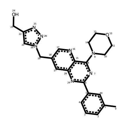 Cc1cccc(-c2nc(N3CCOCC3)c3ncc(Cn4cc(CO)nn4)cc3n2)c1